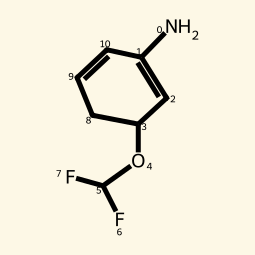 NC1=CC(OC(F)F)CC=C1